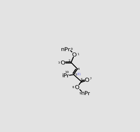 CCCOC(=O)/C=C(/C(=O)OCCC)C(C)C